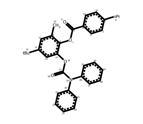 CCCc1ccc(C(=O)Oc2c(C)cc(C(C)(C)C)cc2OC(=O)N(c2ccccc2)c2ccccc2)cc1